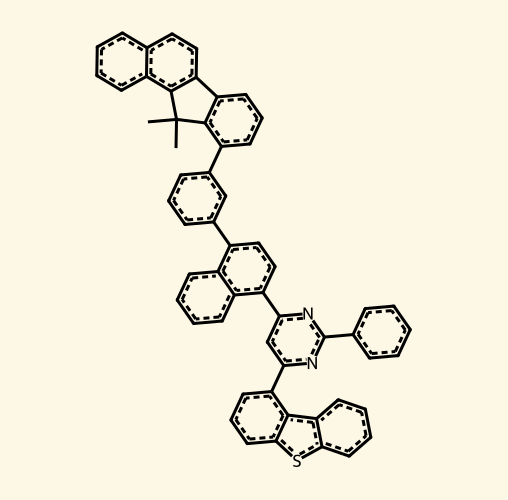 CC1(C)c2c(-c3cccc(-c4ccc(-c5cc(-c6cccc7sc8ccccc8c67)nc(-c6ccccc6)n5)c5ccccc45)c3)cccc2-c2ccc3ccccc3c21